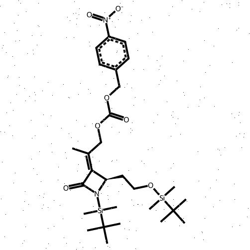 C/C(COC(=O)OCc1ccc([N+](=O)[O-])cc1)=C1\C(=O)N([Si](C)(C)C(C)(C)C)[C@@H]1CCO[Si](C)(C)C(C)(C)C